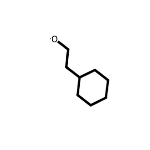 [O]CCC1CCCCC1